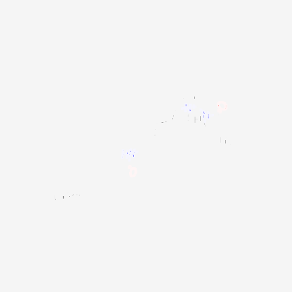 CCCCCCCCCCCCCCC(=O)NCCCCCC[N+](C)(C)CN1CC(C)CC1=O